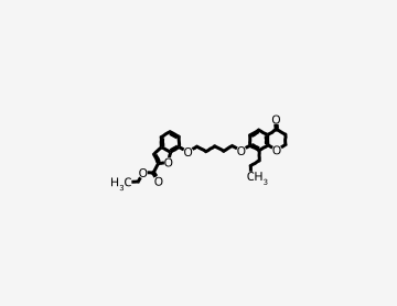 CCCc1c(OCCCCCOc2cccc3cc(C(=O)OCC)oc23)ccc2c1OCCC2=O